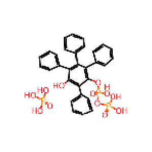 O=P(O)(O)O.O=P(O)(O)OP(=O)(O)Oc1c(-c2ccccc2)c(O)c(-c2ccccc2)c(-c2ccccc2)c1-c1ccccc1